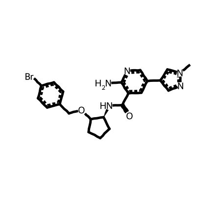 Cn1cc(-c2cnc(N)c(C(=O)N[C@H]3CCCC3OCc3ccc(Br)cc3)c2)cn1